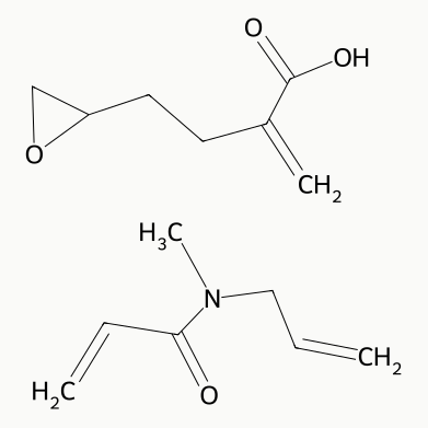 C=C(CCC1CO1)C(=O)O.C=CCN(C)C(=O)C=C